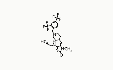 C#CCNC1=NC(=O)N(C)/C1=C/C1CCN(Cc2ccc(C(F)(F)F)cc2C(F)(F)F)CC1